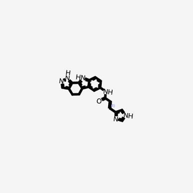 O=C(/C=C/c1c[nH]cn1)Nc1ccc2[nH]c3c(c2c1)CCc1cn[nH]c1-3